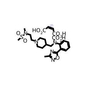 Cc1noc(-c2ccccc2N(CC2CCN(CCN(C)S(C)(=O)=O)CC2)C(=O)O)n1.O=C(O)/C=C\C(=O)O